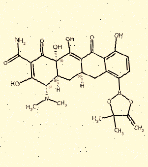 C=C1OB(c2ccc(O)c3c2C[C@H]2C[C@H]4[C@H](N(C)C)C(O)=C(C(N)=O)C(=O)[C@@]4(O)C(O)=C2C3=O)OC1(C)C